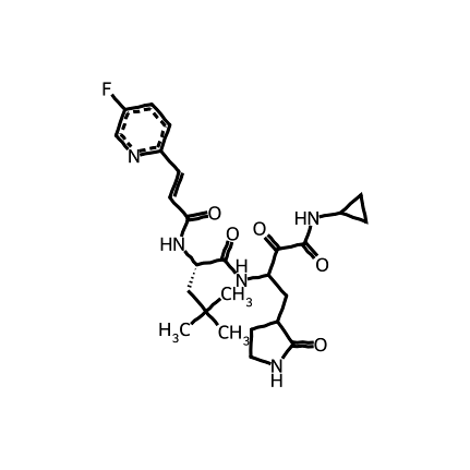 CC(C)(C)C[C@H](NC(=O)/C=C/c1ccc(F)cn1)C(=O)NC(CC1CCNC1=O)C(=O)C(=O)NC1CC1